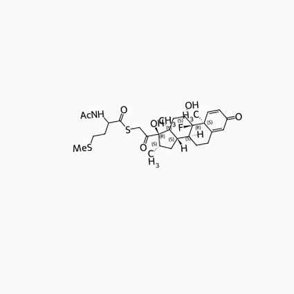 CSCCC(NC(C)=O)C(=O)SCC(=O)[C@@]1(O)[C@@H](C)C[C@H]2[C@@H]3CCC4=CC(=O)C=C[C@]4(C)[C@@]3(F)[C@@H](O)C[C@@]21C